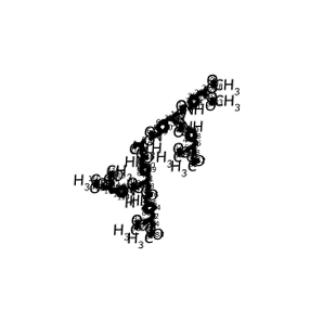 CC=C(COC(=O)Nc1ccc(C=C(COC(=O)Nc2ccc(C=C(COC(C)=O)COC(C)=O)cc2)COC(=O)Nc2ccc(C=C(COC(C)=O)COC(C)=O)cc2)cc1)COC(=O)Nc1ccc(C=C(COC(=O)Nc2ccc(C=C(COC(C)=O)COC(C)=O)cc2)COC(=O)Nc2ccc(C=C(COC(C)=O)COC(C)=O)cc2)cc1